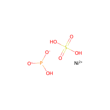 O=S(=O)(O)O.[Ni+2].[O-]P([O-])O